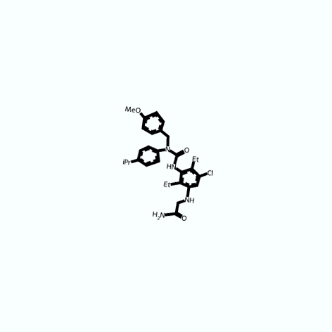 CCc1c(Cl)cc(NCC(N)=O)c(CC)c1NC(=O)N(Cc1ccc(OC)cc1)c1ccc(C(C)C)cc1